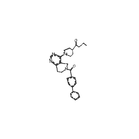 CCCC(=O)C1CCN(c2ncnc3c2CN(C(=O)c2ccc(-c4ccccc4)cc2)CC3)CC1